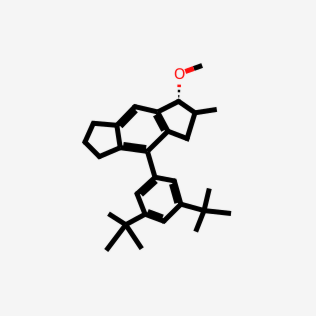 CO[C@H]1c2cc3c(c(-c4cc(C(C)(C)C)cc(C(C)(C)C)c4)c2CC1C)CCC3